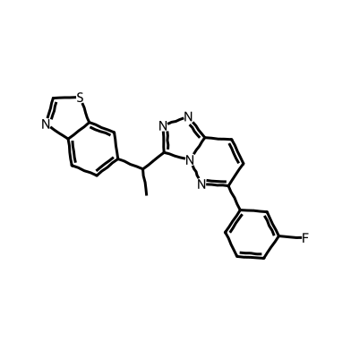 CC(c1ccc2ncsc2c1)c1nnc2ccc(-c3cccc(F)c3)nn12